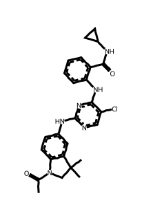 CC(=O)N1CC(C)(C)c2cc(Nc3ncc(Cl)c(Nc4ccccc4C(=O)NC4CC4)n3)ccc21